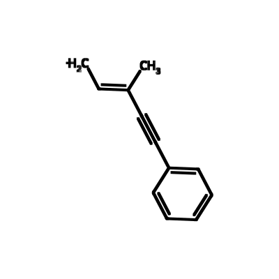 [CH2]C=C(C)C#Cc1ccccc1